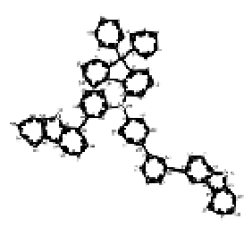 c1ccc(C2(c3ccccc3)c3ccccc3-c3c(N(c4ccc(-c5cccc(-c6ccc7oc8ccccc8c7c6)c5)cc4)c4cccc(-c5cccc6c5oc5ccccc56)c4)cccc32)cc1